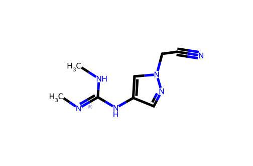 C/N=C(\NC)Nc1cnn(CC#N)c1